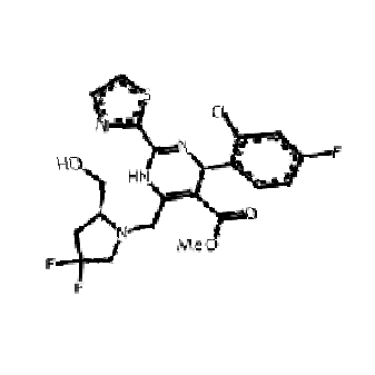 COC(=O)C1=C(CN2CC(F)(F)C[C@H]2CO)NC(c2nccs2)=N[C@H]1c1ccc(F)cc1Cl